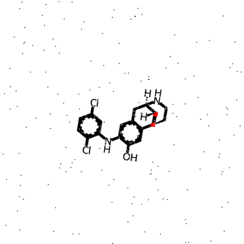 Oc1cc2c(cc1Nc1cc(Cl)ccc1Cl)C[C@H]1NCC[C@@]23CCCC[C@@H]13